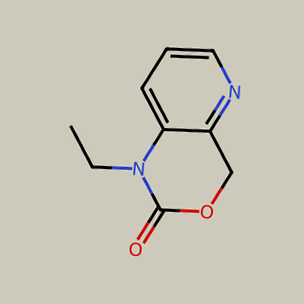 CCN1C(=O)OCc2ncccc21